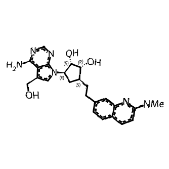 CNc1ccc2ccc(CC[C@H]3C[C@@H](n4cc(CO)c5c(N)ncnc54)[C@H](O)[C@@H]3O)cc2n1